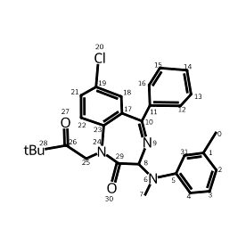 Cc1cccc(N(C)C2N=C(c3ccccc3)c3cc(Cl)ccc3N(CC(=O)C(C)(C)C)C2=O)c1